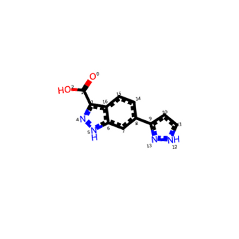 O=C(O)c1n[nH]c2cc(-c3cc[nH]n3)ccc12